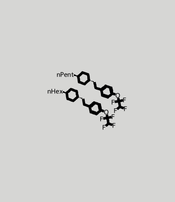 CCCCCC[C@H]1CC[C@H](CCc2ccc(OC(F)(F)C(F)F)cc2)CC1.CCCCC[C@H]1CC[C@H](CCc2ccc(OC(F)(F)C(F)F)cc2)CC1